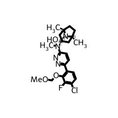 COCOc1c(-c2ccc(N(C)[C@@H]3C[C@]4(C)CC[C@](C)(C3)N4C(=O)O)nn2)ccc(Cl)c1F